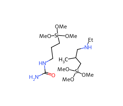 CCNCC(C)C[Si](OC)(OC)OC.CO[Si](CCCNC(N)=O)(OC)OC